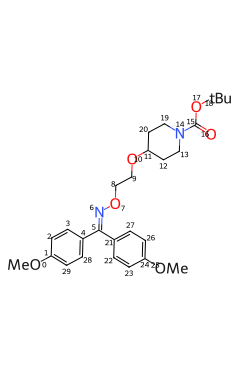 COc1ccc(C(=NOCCOC2CCN(C(=O)OC(C)(C)C)CC2)c2ccc(OC)cc2)cc1